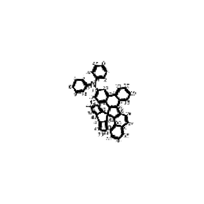 c1ccc(N(c2ccccc2)c2ccc3c4c(c5ccccc5c3c2)-c2ccc3ccccc3c2C42c3ccccc3-c3ccccc32)cc1